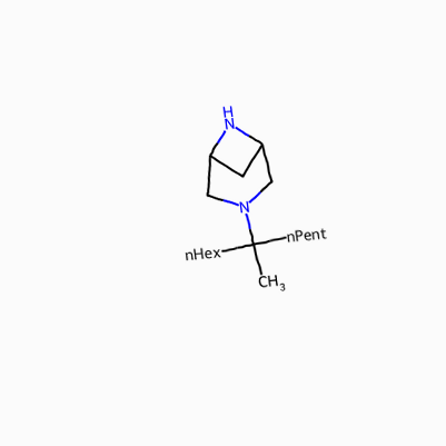 CCCCCCC(C)(CCCCC)N1CC2CC(C1)N2